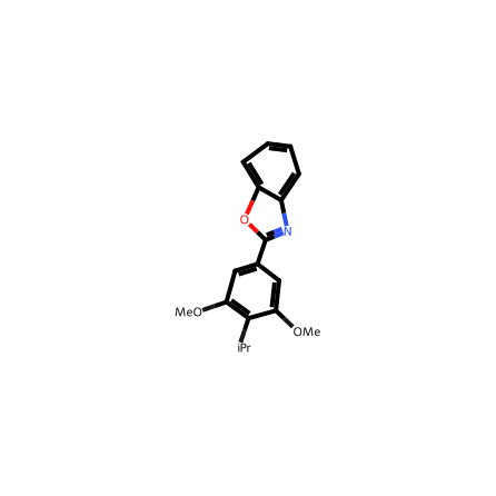 COc1cc(-c2nc3ccccc3o2)cc(OC)c1C(C)C